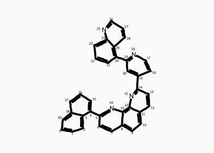 c1ccc2c(-c3ccc4ccc5ccc(-c6ccnc(-c7cccc8ncccc78)c6)nc5c4n3)cccc2c1